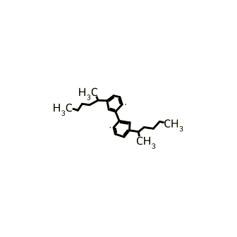 CCCCC(C)c1cc[c]c(-c2[c]ccc(C(C)CCCC)c2)c1